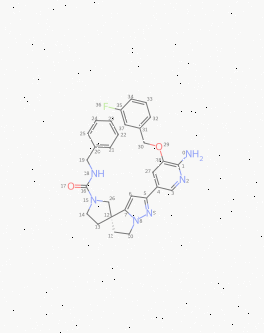 Nc1ncc(-c2cc3n(n2)CC[C@@]32CCN(C(=O)NCc3ccccc3)C2)cc1OCc1cccc(F)c1